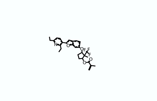 C=C(C)C(=O)OC1CCC(Oc2ccc3cc(-c4ccc(CC)nc4CC)oc3c2)C1(C)C(F)(F)F